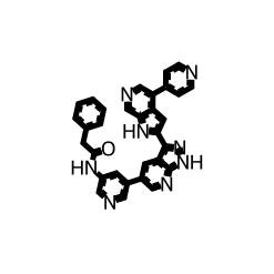 O=C(Cc1ccccc1)Nc1cncc(-c2cnc3[nH]nc(-c4cc5c(-c6ccncc6)cncc5[nH]4)c3c2)c1